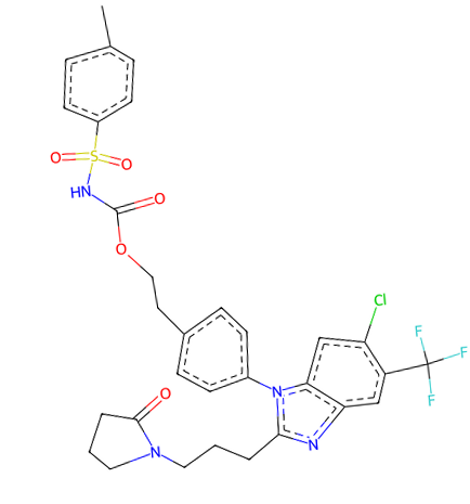 Cc1ccc(S(=O)(=O)NC(=O)OCCc2ccc(-n3c(CCCN4CCCC4=O)nc4cc(C(F)(F)F)c(Cl)cc43)cc2)cc1